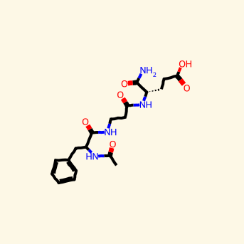 CC(=O)NC(Cc1ccccc1)C(=O)NCCC(=O)N[C@@H](CCC(=O)O)C(N)=O